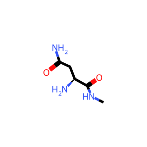 CNC(=O)[C@@H](N)CC(N)=O